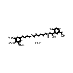 COc1cc(CCCCOCCCCCCNCC(O)c2cc(CO)ccc2O)cc(OC)c1OC.Cl